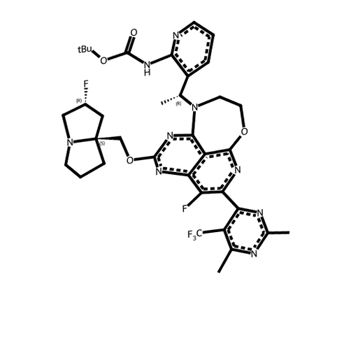 Cc1nc(C)c(C(F)(F)F)c(-c2nc3c4c(nc(OC[C@@]56CCCN5C[C@H](F)C6)nc4c2F)N([C@H](C)c2cccnc2NC(=O)OC(C)(C)C)CCO3)n1